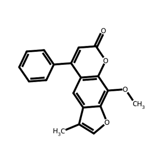 COc1c2occ(C)c2cc2c(-c3ccccc3)cc(=O)oc12